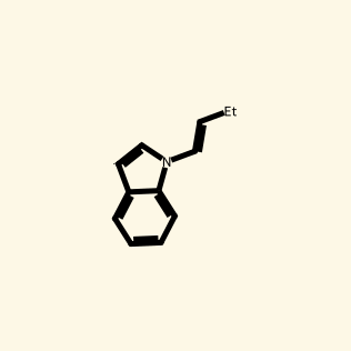 CCC=Cn1c[c]c2ccccc21